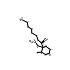 COCC1(C(=O)CCCCCCC(C)C)CCCCC1C